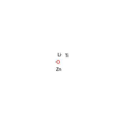 [Li].[O].[Ti].[Zn]